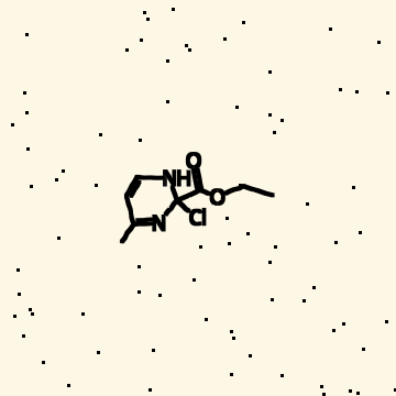 CCOC(=O)C1(Cl)N=C(C)C=CN1